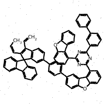 C=CC1=C(/C=C\C)C2(c3cc(-c4ccc(-c5ccc6oc7cccc(-c8nc(-c9cccc(-c%10ccccc%10)c9)nc(-c9cccc%10oc%11ccccc%11c9%10)n8)c7c6c5)cc4)ccc31)c1ccccc1-c1ccccc12